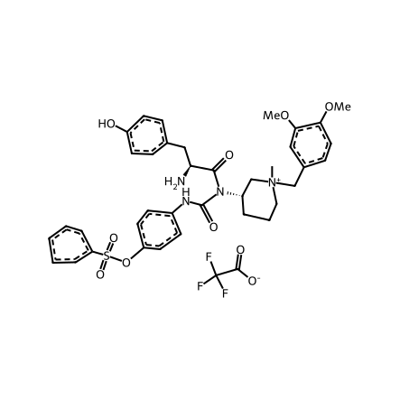 COc1ccc(C[N+]2(C)CCC[C@H](N(C(=O)Nc3ccc(OS(=O)(=O)c4ccccc4)cc3)C(=O)[C@@H](N)Cc3ccc(O)cc3)C2)cc1OC.O=C([O-])C(F)(F)F